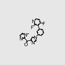 Cn1ccnc1C(=O)c1cn(-c2cccc(-c3c(F)ccnc3F)c2)cn1